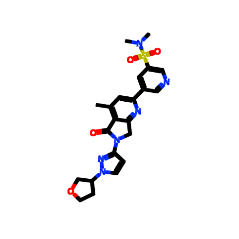 Cc1cc(-c2cncc(S(=O)(=O)N(C)C)c2)nc2c1C(=O)N(c1ccn(C3CCOC3)n1)C2